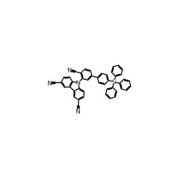 N#Cc1ccc2c(c1)c1cc(C#N)ccc1n2-c1cc(-c2ccc([Si](c3ccccc3)(c3ccccc3)c3ccccc3)cc2)ccc1C#N